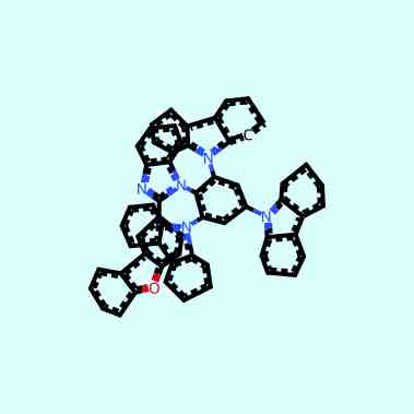 c1ccc2c(c1)nc(-c1ccc3oc4ccccc4c3c1)n2-c1c(-n2c3ccccc3c3ccccc32)cc(-n2c3ccccc3c3ccccc32)cc1-n1c2ccccc2c2ccccc21